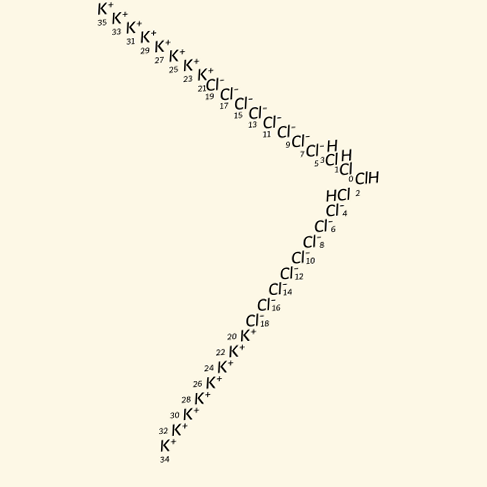 Cl.Cl.Cl.Cl.[Cl-].[Cl-].[Cl-].[Cl-].[Cl-].[Cl-].[Cl-].[Cl-].[Cl-].[Cl-].[Cl-].[Cl-].[Cl-].[Cl-].[Cl-].[Cl-].[K+].[K+].[K+].[K+].[K+].[K+].[K+].[K+].[K+].[K+].[K+].[K+].[K+].[K+].[K+].[K+]